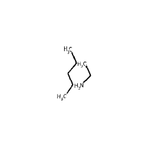 CCCCC.CCN